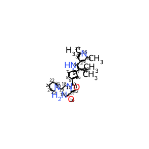 Cc1cc(-c2[nH]c3ccc(C4OC=C(C(N)=O)N4CCN4CCCCC4)cc3c2C(C)C)cc(C)n1